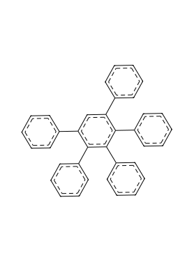 c1ccc(-c2cc(-c3ccccc3)c(-c3ccccc3)c(-c3ccccc3)c2-c2ccccc2)cc1